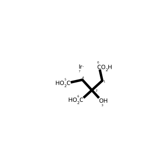 O=C(O)CC(O)(CC(=O)O)C(=O)O.[Ir]